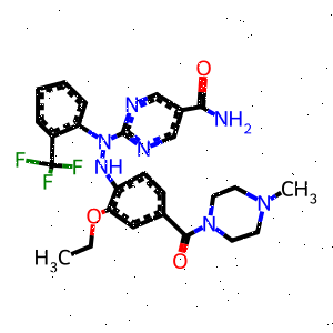 CCOc1cc(C(=O)N2CCN(C)CC2)ccc1NN(c1ncc(C(N)=O)cn1)c1ccccc1C(F)(F)F